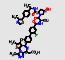 Cc1ncsc1-c1ccc(C(C)NC(=O)[C@@H]2C[C@@H](O)CN2C(=O)C(NC(=O)c2ccc(-c3ccc(C4=N[C@@H](CC(=O)O)c5nnc(C)n5-c5sc(C)c(C)c54)cc3)c(F)c2)C(C)(C)C)cc1